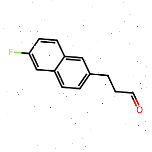 O=CCCc1ccc2cc(F)ccc2c1